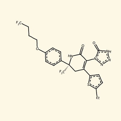 CCc1ccc(C2=C(n3nn[nH]c3=O)C(=O)N[C@@](c3ccc(OCCCC(F)(F)F)cc3)(C(F)(F)F)C2)s1